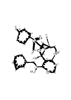 CN(Cc1ccccc1)c1ncnc2c1[C@@H]1OC[C@H](CN2)N1S(=O)(=O)c1ccc(F)cc1